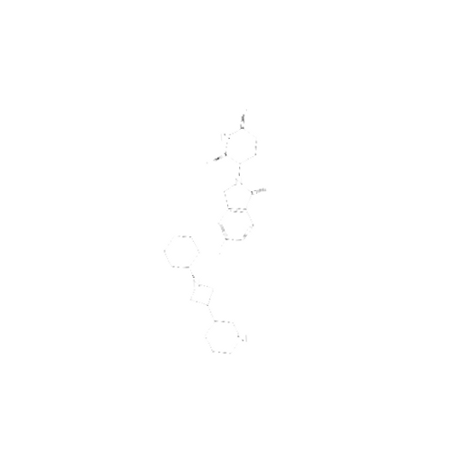 O=C1CCC(N2Cc3cc(O[C@H]4CCCC[C@@H]4N4CC(C5CCCNC5)C4)ccc3C2=O)C(=O)N1